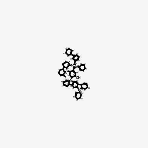 CC1=CCCC2C3C=CCC4C3N(C3CC(N5C6=C(CC7C(=C6)C6C=CCCC6N7C6C=CCCC6)C6C=CC=CC65)C(C#N)C=C3C3=[N+](C5=CCCC=C5)C(c5cccc(C6=CCCCC6)c5)N34)C12